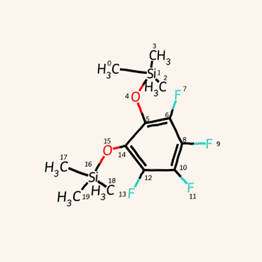 C[Si](C)(C)Oc1c(F)c(F)c(F)c(F)c1O[Si](C)(C)C